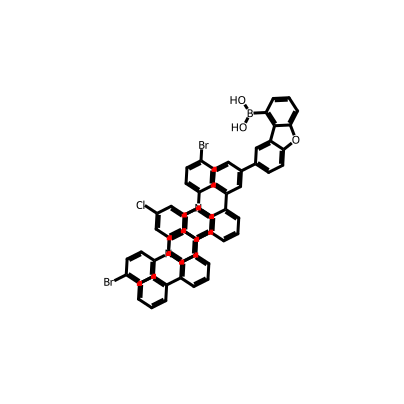 OB(O)c1cccc2oc3ccc(-c4cccc(-c5cccc(-c6ccccc6)c5N(c5ccc(Br)cc5)c5cc(Cl)cc(N(c6ccc(Br)cc6)c6c(-c7ccccc7)cccc6-c6ccccc6)c5)c4)cc3c12